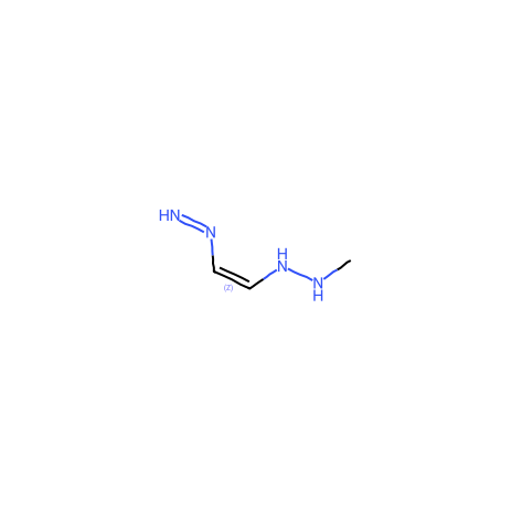 CNN/C=C\N=N